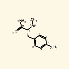 CN[C@H](Cc1ccc(C)cc1)C(N)=O